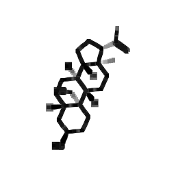 C=C(C)[C@H]1CC[C@H]2[C@@H]3CC[C@H]4C[C@H](O)CC[C@]4(CO)[C@H]3CC[C@]12C